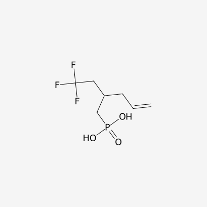 C=CCC(CC(F)(F)F)CP(=O)(O)O